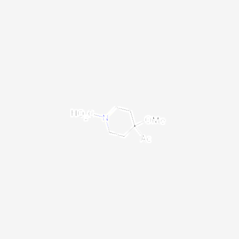 COC1(C(C)=O)CCN(C(=O)O)CC1